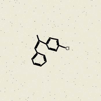 CC(=Cc1ccccc1)c1ccc(Cl)cc1